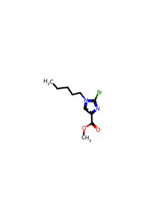 CCCCCn1cc(C(=O)OC)nc1Br